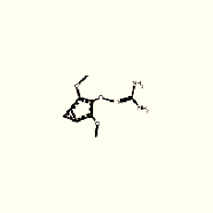 COc1c2cc-2c(OC)c1OC.NC(N)=S